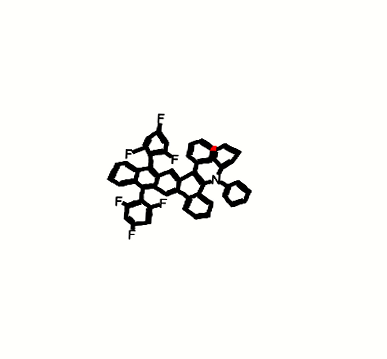 Fc1cc(F)c(-c2c3ccccc3c(-c3c(F)cc(F)cc3F)c3cc4c(cc23)c(-c2ccccc2)c(N(c2ccccc2)c2ccccc2)c2ccccc24)c(F)c1